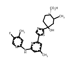 Cc1cc(Nc2cc(C)c(F)cn2)nc(-c2cnc(C3(O)CC[C@H](C(=O)O)C(C)C3)s2)c1